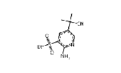 CCS(=O)(=O)c1cc(C(C)(C)C#N)cnc1N